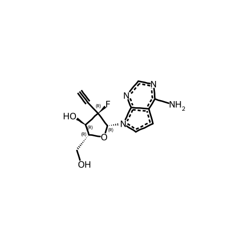 C#C[C@@]1(F)[C@H](O)[C@@H](CO)O[C@H]1n1ccc2c(N)ncnc21